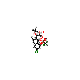 Cc1cc2cc(Cl)ccc2c(OS(=O)(=O)C(F)(F)F)c1C(OC(C)(C)C)C(=O)O